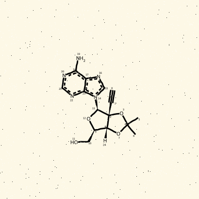 C#C[C@@]12OC(C)(C)O[C@@H]1[C@@H](CO)O[C@H]2n1cnc2c(N)ncnc21